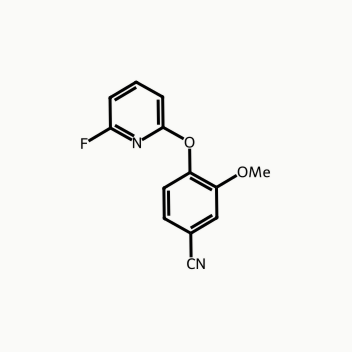 COc1cc(C#N)ccc1Oc1cccc(F)n1